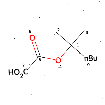 CCCCC(C)(C)OC(=O)C(=O)O